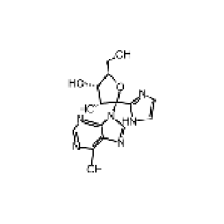 OC[C@H]1O[C@@](c2ncc[nH]2)(n2cnc3c(O)ncnc32)[C@H](O)[C@@H]1O